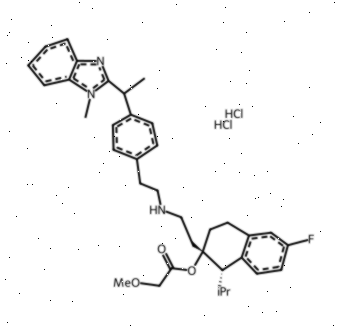 COCC(=O)O[C@]1(CCNCCc2ccc(C(C)c3nc4ccccc4n3C)cc2)CCc2cc(F)ccc2[C@@H]1C(C)C.Cl.Cl